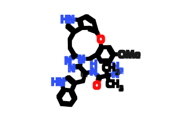 COc1ccc2c(c1)Oc1ccc3[nH]cc(c3c1)CCc1nnc([C@H](Cc3c[nH]c4ccccc34)NC(=O)C(C)(C)N)n1C2